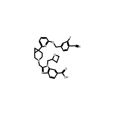 N#Cc1ccc(COc2cccc(C34CCN(Cc5nc6ccc(C(=O)O)cc6n5CC5CCO5)CC3C4)n2)cc1F